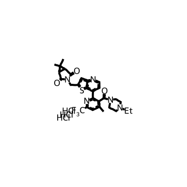 CCN1CCN(C(=O)c2c(C)cc(C(F)(F)F)nc2-c2ccnc3cc(CN4C(=O)C5C(C4=O)C5(C)C)sc23)CC1.Cl.Cl.Cl